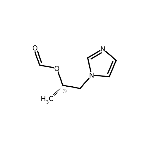 C[C@@H](Cn1ccnc1)OC=O